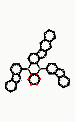 c1ccc(N(c2ccc3c(sc4cc5ccccc5cc43)c2N(c2ccccc2)c2ccc3sc4ccccc4c3c2)c2cccc3c2sc2ccccc23)cc1